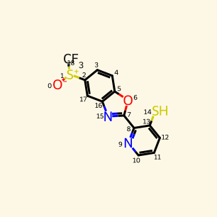 [O-][S+](c1ccc2oc(-c3ncccc3S)nc2c1)C(F)(F)F